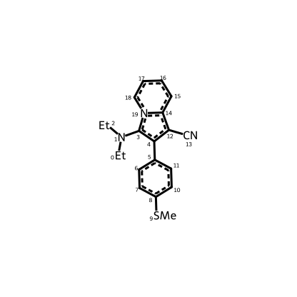 CCN(CC)c1c(-c2ccc(SC)cc2)c(C#N)c2ccccn12